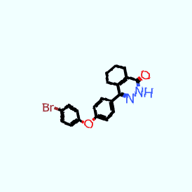 O=c1[nH]nc(-c2ccc(Oc3ccc(Br)cc3)cc2)c2c1CCCC2